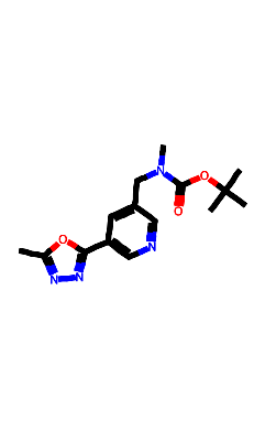 Cc1nnc(-c2cncc(CN(C)C(=O)OC(C)(C)C)c2)o1